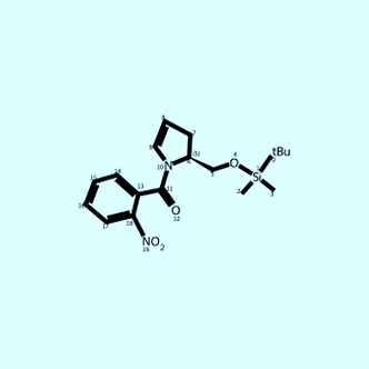 CC(C)(C)[Si](C)(C)OC[C@@H]1CC=CN1C(=O)c1ccccc1[N+](=O)[O-]